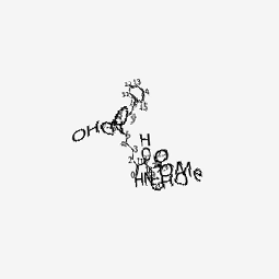 C=C(CCCCN(C=O)OCc1ccccc1)C(O)C(NC=O)C(=O)OC